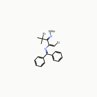 CC/C=C(N=C(c1ccccc1)c1ccccc1)\C(=N\NC)C(C)(C)CC